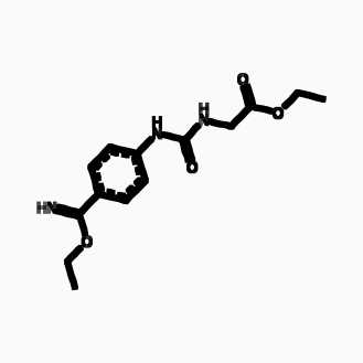 CCOC(=N)c1ccc(NC(=O)NCC(=O)OCC)cc1